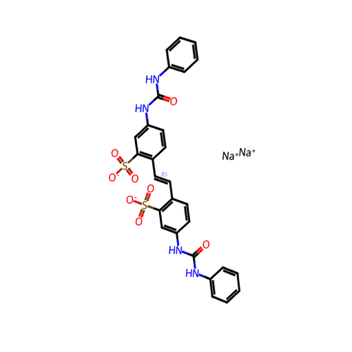 O=C(Nc1ccccc1)Nc1ccc(/C=C/c2ccc(NC(=O)Nc3ccccc3)cc2S(=O)(=O)[O-])c(S(=O)(=O)[O-])c1.[Na+].[Na+]